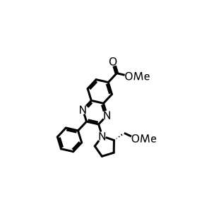 COC[C@@H]1CCCN1c1nc2cc(C(=O)OC)ccc2nc1-c1ccccc1